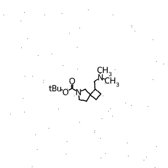 CN(C)CC1CCC12CCN(C(=O)OC(C)(C)C)C2